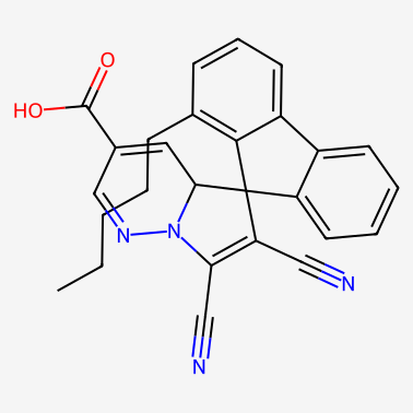 CCCCCc1cccc2c1C1(C(C#N)=C(C#N)N3N=CC(C(=O)O)=CC31)c1ccccc1-2